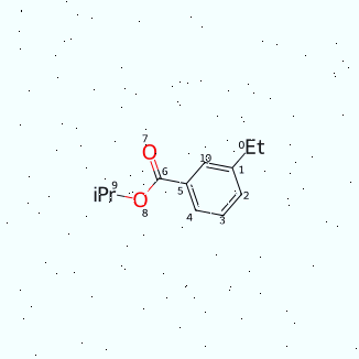 CCc1cccc(C(=O)OC(C)C)c1